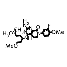 COCCC(CCN(C)C)Nc1nc(N)nc2c1CCN(c1ccc(OC)c(F)c1)C2=O